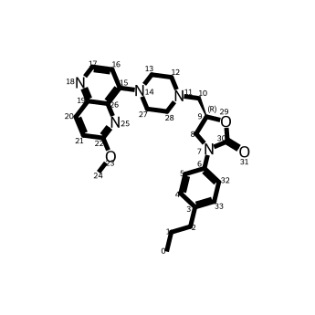 CCCc1ccc(N2C[C@@H](CN3CCN(c4ccnc5ccc(OC)nc45)CC3)OC2=O)cc1